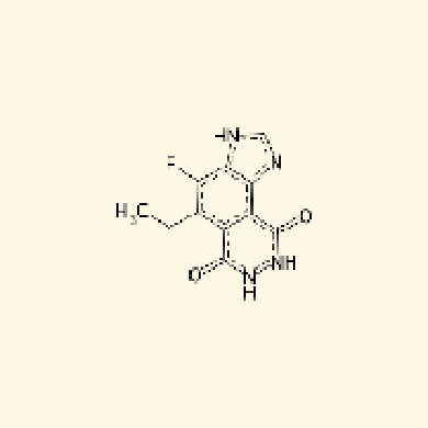 CCc1c(F)c2[nH]cnc2c2c(=O)[nH][nH]c(=O)c12